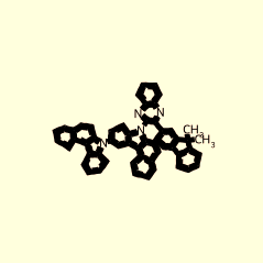 CC1(C)c2ccccc2-c2ccc(-c3nc4ccccc4nc3-n3c4ccc(-n5c6ccccc6c6c7ccccc7ccc65)cc4c4c5ccccc5ccc43)cc21